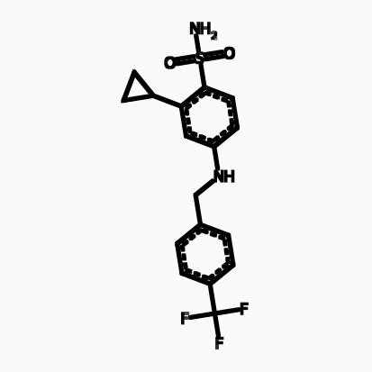 NS(=O)(=O)c1ccc(NCc2ccc(C(F)(F)F)cc2)cc1C1CC1